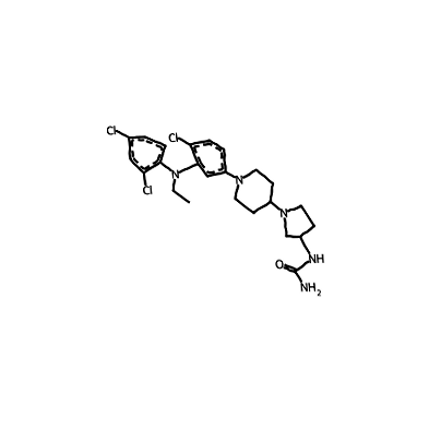 CCN(c1ccc(Cl)cc1Cl)c1cc(N2CCC(N3CCC(NC(N)=O)C3)CC2)ccc1Cl